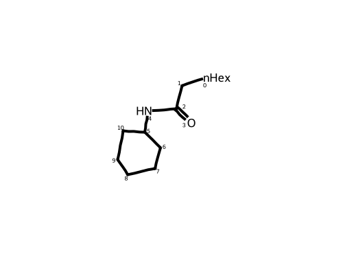 CCCCCCCC(=O)NC1CCCCC1